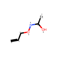 C=CCO[N]C(O)CC